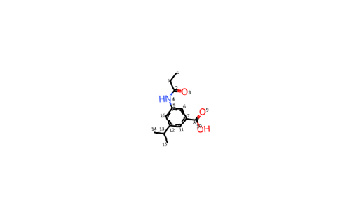 CCC(=O)Nc1cc(C(=O)O)cc(C(C)C)c1